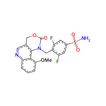 COc1cccc2ncc3c(c12)N(Cc1c(F)cc(S(N)(=O)=O)cc1F)C(=O)OC3